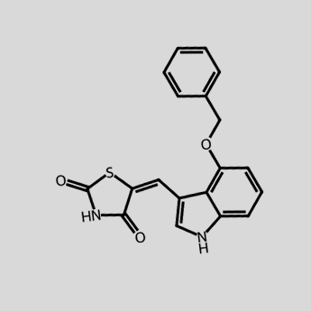 O=C1NC(=O)/C(=C\c2c[nH]c3cccc(OCc4ccccc4)c23)S1